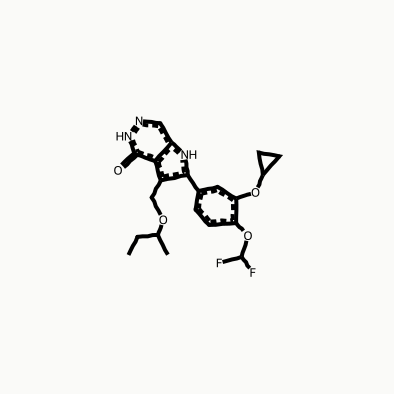 CCC(C)OCc1c(-c2ccc(OC(F)F)c(OC3CC3)c2)[nH]c2cn[nH]c(=O)c12